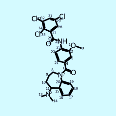 COc1cc(C(=O)N2CCCC(N(C)C)c3ccccc32)ccc1NC(=O)c1cc(Cl)cc(Cl)c1Cl